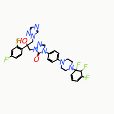 O=c1n(-c2ccc(N3CCN(C4(F)C=CC=C(F)C4F)CC3)cc2)cnn1CC(O)(Cn1cncn1)c1ccc(F)cc1F